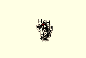 COCC1(NC(=O)C[C@@]2(O)C3C[C@@H](S(=O)(=O)c4cc(C(=O)Nc5cc(F)c(F)c(F)c5)ccc4Cl)CC2[C@@H](C)C3)CC1